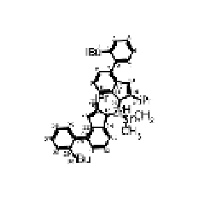 CCC(C)c1ccccc1-c1cccc2c1C=C(C(C)C)[CH]2[Zr]([CH]1C(C(C)C)=Cc2c(-c3ccccc3C(C)CC)cccc21)[SiH](C)C